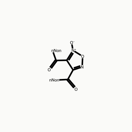 CCCCCCCCCC(=O)c1no[n+]([O-])c1C(=O)CCCCCCCCC